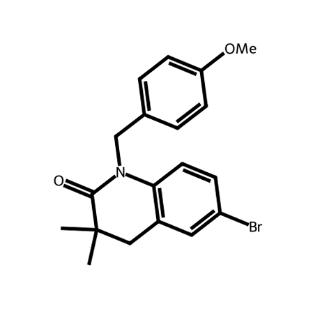 COc1ccc(CN2C(=O)C(C)(C)Cc3cc(Br)ccc32)cc1